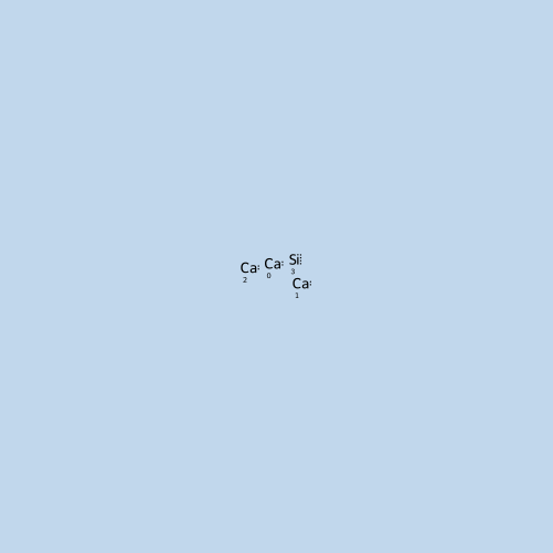 [Ca].[Ca].[Ca].[Si]